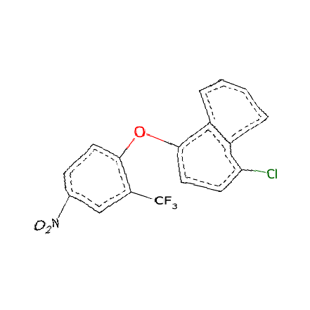 O=[N+]([O-])c1ccc(Oc2ccc(Cl)c3ccccc23)c(C(F)(F)F)c1